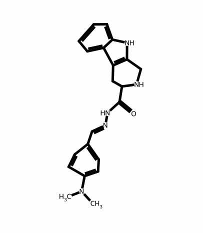 CN(C)c1ccc(/C=N/NC(=O)C2Cc3c([nH]c4ccccc34)CN2)cc1